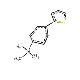 C[Si](C)(C)c1ccc(-c2cccs2)cc1